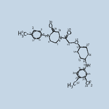 Cc1ccc(N2CCN(C(=O)COC3CCC(Nc4ccc(C)c(C(F)(F)F)c4)CC3)CC2=O)cc1